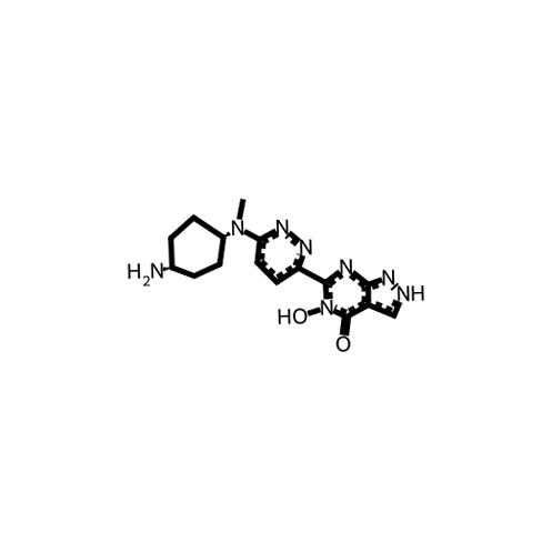 CN(c1ccc(-c2nc3n[nH]cc3c(=O)n2O)nn1)[C@H]1CC[C@@H](N)CC1